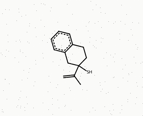 C=C(C)C1(S)CCc2ccccc2C1